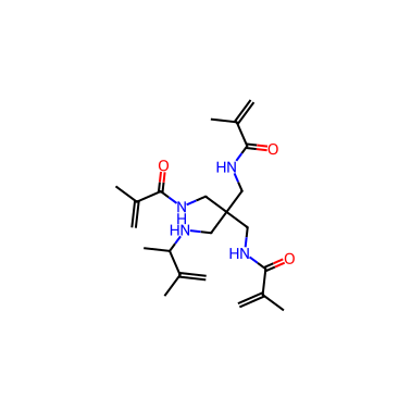 C=C(C)C(=O)NCC(CNC(=O)C(=C)C)(CNC(=O)C(=C)C)CNC(C)C(=C)C